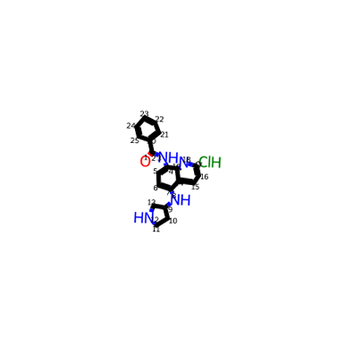 Cl.O=C(Nc1ccc(NC2CCNC2)c2cccnc12)c1ccccc1